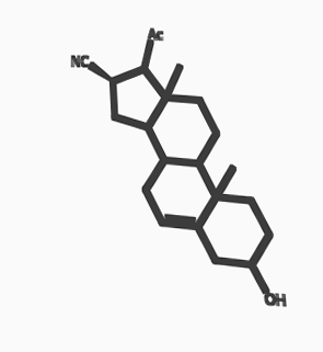 CC(=O)C1[C@H](C#N)CC2C3CC=C4CC(O)CCC4(C)C3CCC21C